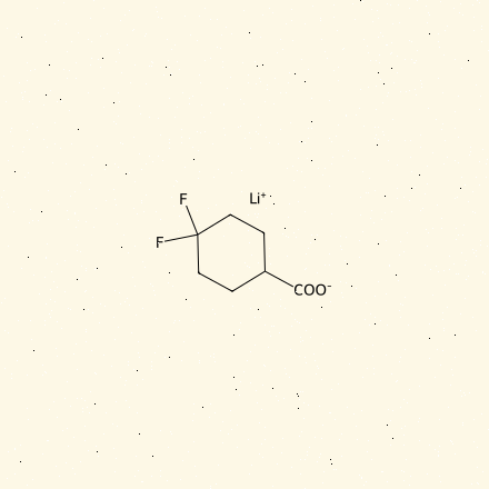 O=C([O-])C1CCC(F)(F)CC1.[Li+]